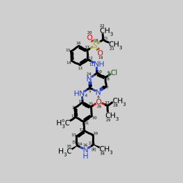 Cc1cc(Nc2ncc(Cl)c(Nc3ccccc3S(=O)(=O)C(C)C)n2)c(OC(C)C)cc1C1=C[C@H](C)N[C@H](C)C1